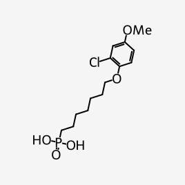 COc1ccc(OCCCCCCCP(=O)(O)O)c(Cl)c1